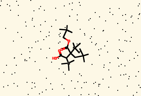 CC(C)(C)COC(=O)C(CC(C)(C)C)(C(C(=O)O)[Si](C)(C)C)[Si](C)(C)C